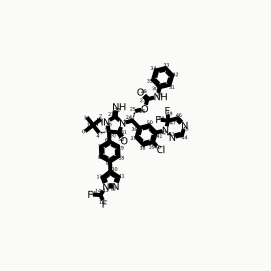 CC(C)(C)C[C@]1(c2ccc(-c3cnn(C(F)F)c3)cc2)NC(=N)N([C@H](COC(=O)Nc2ccccc2)c2ccc(Cl)c(N3N=CN=CC3(F)F)c2)C1=O